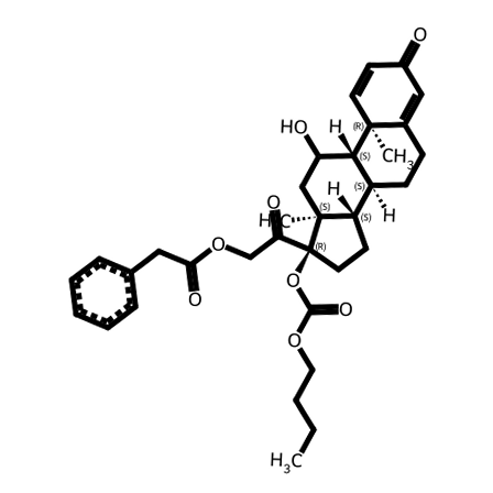 CCCCOC(=O)O[C@]1(C(=O)COC(=O)Cc2ccccc2)CC[C@H]2[C@@H]3CCC4=CC(=O)C=C[C@]4(C)[C@H]3C(O)C[C@@]21C